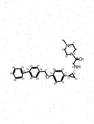 CN1CCN(C(=O)CN[C@@H]2C[C@H]2c2ccc(OCc3ccc(-c4ccccc4)cc3)cc2)CC1